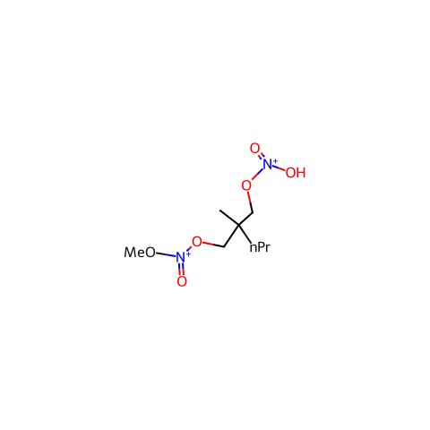 CCCC(C)(CO[N+](=O)O)CO[N+](=O)OC